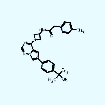 Cc1ccc(CC(=O)NC2CN(c3ncnn4cc(-c5ccc(C(C)(C)O)cc5)cc34)C2)cc1